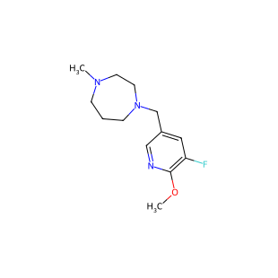 COc1ncc(CN2CCCN(C)CC2)cc1F